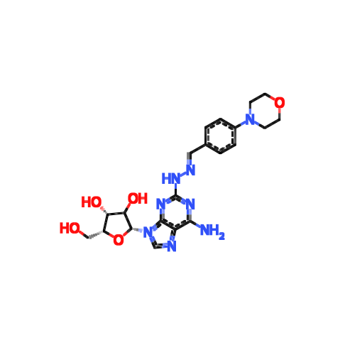 Nc1nc(N/N=C/c2ccc(N3CCOCC3)cc2)nc2c1ncn2[C@@H]1O[C@H](CO)[C@H](O)C1O